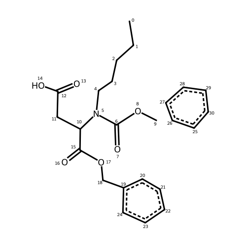 CCCCCN(C(=O)OC)C(CC(=O)O)C(=O)OCc1ccccc1.c1ccccc1